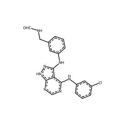 O=CNCc1cccc(Nc2n[nH]c3ncnc(Nc4cccc(Cl)c4)c23)c1